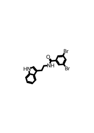 O=C(NCCc1c[nH]c2ccccc12)c1cc(Br)cc(Br)c1